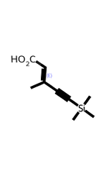 C/C(C#C[Si](C)(C)C)=C\C(=O)O